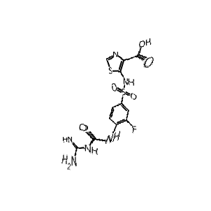 N=C(N)NC(=O)Nc1ccc(S(=O)(=O)Nc2scnc2C(=O)O)cc1F